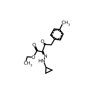 CCOC(=O)C(=NNC1CC1)C(=O)Cc1ccc(C)cc1